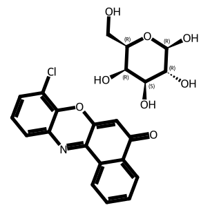 O=c1cc2oc3c(Cl)cccc3nc-2c2ccccc12.OC[C@H]1O[C@@H](O)[C@H](O)[C@@H](O)[C@H]1O